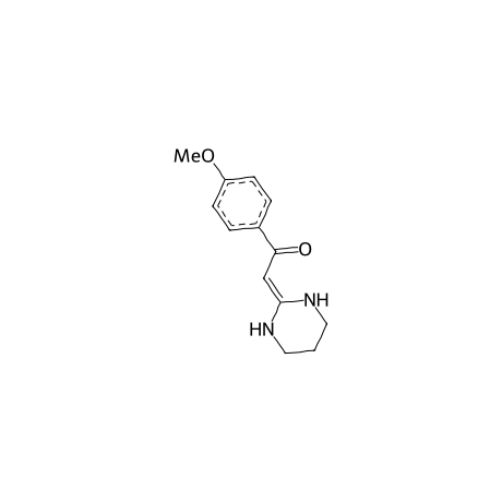 COc1ccc(C(=O)C=C2NCCCN2)cc1